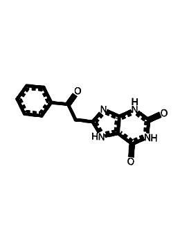 O=C(Cc1nc2[nH]c(=O)[nH]c(=O)c2[nH]1)c1ccccc1